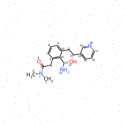 CN(C)C(=O)Cc1cccc(C[C@@H](O)c2cccnc2)c1CN